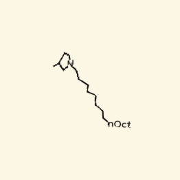 CCCCCCCCCCCCCCCCN1CCC(C)C1